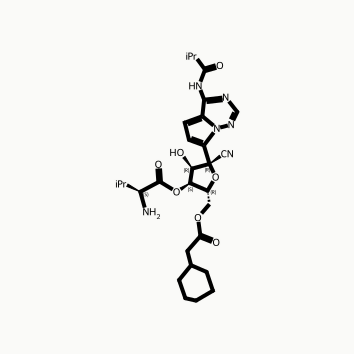 CC(C)C(=O)Nc1ncnn2c([C@]3(C#N)O[C@H](COC(=O)CC4CCCCC4)[C@@H](OC(=O)[C@@H](N)C(C)C)[C@H]3O)ccc12